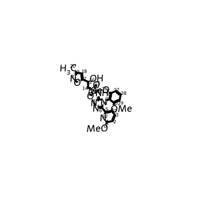 COc1cccc(-c2nnc(NS(=O)(=O)C[C@@H](O)c3cc(C)no3)n2-c2c(OC)cccc2OC)n1